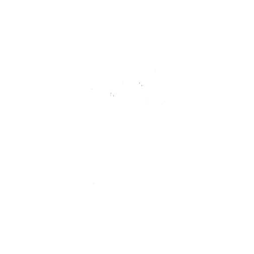 C=c1n(CC)c(=O)c(=Cc2ccc(O)c(C)c2)c(=O)n1CC